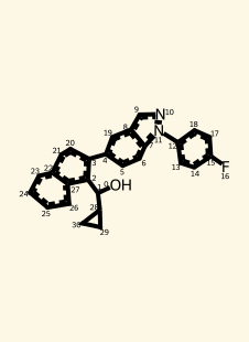 OC(c1c(-c2ccc3c(cnn3-c3ccc(F)cc3)c2)ccc2ccccc12)C1CC1